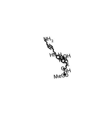 COC(=O)CNC(=O)CC[C@@H](C)[C@H]1CC[C@H]2[C@@H]3[C@H](O)C[C@@H]4C[C@@H](NCCCN5CCN(CCCN)CC5)CC[C@]4(C)[C@H]3CC[C@]12C